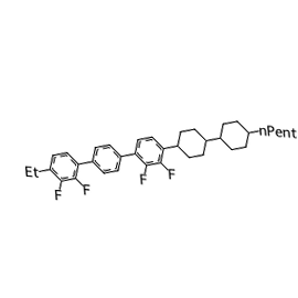 CCCCCC1CCC(C2CCC(c3ccc(-c4ccc(-c5ccc(CC)c(F)c5F)cc4)c(F)c3F)CC2)CC1